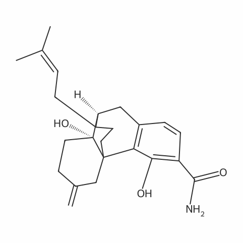 C=C1CC[C@@]2(O)[C@H]3Cc4ccc(C(N)=O)c(O)c4C2(CCC3CC=C(C)C)C1